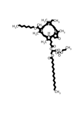 CCCCCCCCCCCCCCCC(=O)OCC(COP(=O)(O)OCCC)OC(=O)CCC1c2[nH]c(cc3nc(cc4[nH]c(cc5nc6c2CC(=O)C6=C5C)c(CC)c4C)C(C(C)OCCCCCCCC)=C3C)C1C